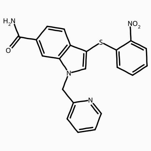 NC(=O)c1ccc2c(Sc3ccccc3[N+](=O)[O-])cn(Cc3ccccn3)c2c1